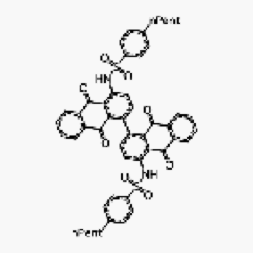 CCCCCc1ccc(S(=O)(=O)Nc2ccc(-c3ccc(NS(=O)(=O)c4ccc(CCCCC)cc4)c4c3C(=O)c3ccccc3C4=O)c3c2C(=O)c2ccccc2C3=O)cc1